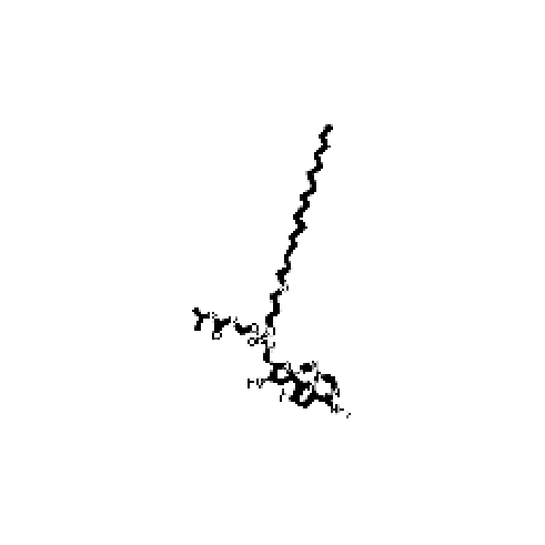 CCCCCCCCCCCCCCCCOCCCO[P@@](=O)(OCOC(=O)OC(C)C)OC[C@H]1O[C@@](C#N)(c2ccc3c(N)ncnn23)[C@H](O)[C@@H]1O